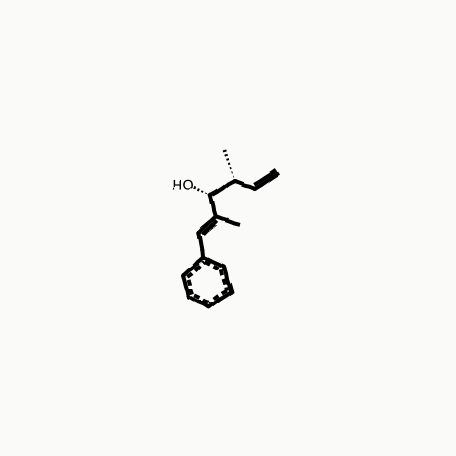 C=C[C@@H](C)[C@@H](O)/C(C)=C/c1ccccc1